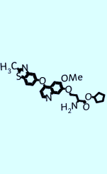 COc1cc2c(Oc3ccc4sc(C)nc4c3)ccnc2cc1OCCC(N)C(=O)OC1CCCC1